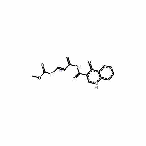 C=C(/C=C/OC(=O)OC)NC(=O)c1c[nH]c2ccccc2c1=O